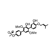 COc1cc(-c2ccc(OS(C)(=O)=O)cc2)c(OC)c(O)c1-c1ccc(OCC=C(C)C)c(O)c1